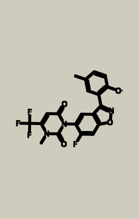 Cc1ccc([O])c(-c2noc3cc(F)c(-n4c(=O)cc(C(F)(F)F)n(C)c4=O)cc23)c1